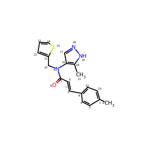 Cc1ccc(/C=C/C(=O)N(Cc2cccs2)c2cn[nH]c2C)cc1